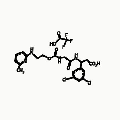 Cc1cccc(NCCOC(=O)NCC(=O)NC(CC(=O)O)c2cc(Cl)cc(Cl)c2)n1.O=C(O)C(F)(F)F